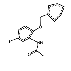 CC(=O)Nc1cc(F)ccc1OCc1ccccc1